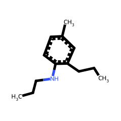 CCCNc1ccc(C)cc1CCC